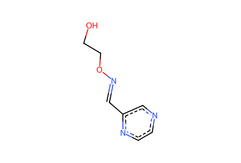 OCCON=Cc1cnccn1